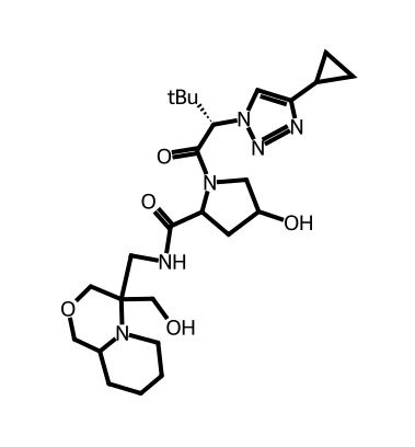 CC(C)(C)[C@@H](C(=O)N1CC(O)CC1C(=O)NCC1(CO)COCC2CCCCN21)n1cc(C2CC2)nn1